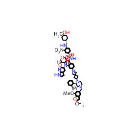 COc1cc(CN2CCN(C3CC4(C3)CN(c3ccc(C(=O)NS(=O)(=O)c5ccc(NC[C@H]6CC[C@](C)(O)CC6)c([N+](=O)[O-])c5)c(N5c6cc7cc[nH]c7nc6O[C@H]6COCC[C@@H]65)c3)C4)[C@H](c3ccccc3C(C)C)C2)cc2cc(C)oc12